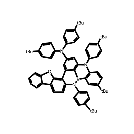 CC(C)(C)c1ccc(N2B3c4cc(C(C)(C)C)ccc4N(c4ccc(C(C)(C)C)cc4)c4cc(N(c5ccc(C(C)(C)C)cc5)c5ccc(C(C)(C)C)cc5)cc(c43)-c3c2ccc2c3oc3ccccc32)cc1